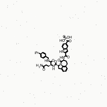 CC(C)c1ccc(CNC(=O)[C@H](CCC(N)=O)NC(=O)[C@@H]2Cc3cccc4c3N2C(=O)[C@@H](NC(=O)c2cc3cc(C(=O)P(=O)(O)O)ccc3[nH]2)CC4)cc1